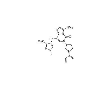 C=CC(=O)N1CCC(n2cc(Nc3cn(C)nc3OC)c3ncc(NC)n3c2=O)C1